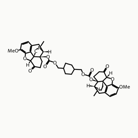 COc1ccc2c3c1O[C@H]1C(=O)CC[C@@]4(OC(=O)OCC5CCC(COC(=O)O[C@@]67CCC(=O)[C@@H]8Oc9c(OC)ccc%10c9[C@@]86CCN(C)[C@@H]7C%10)CC5)[C@@H](C2)N(C)CC[C@]314